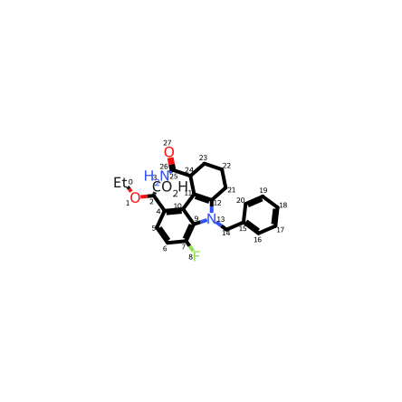 CCOC(C(=O)O)c1ccc(F)c2c1c1c(n2Cc2ccccc2)CCCC1C(N)=O